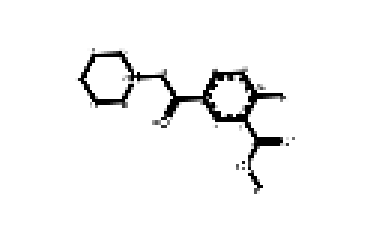 COC(=O)c1cc(C(=O)CN2CCCCC2)ccc1C